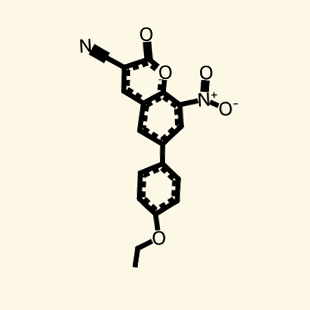 CCOc1ccc(-c2cc([N+](=O)[O-])c3oc(=O)c(C#N)cc3c2)cc1